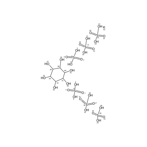 O=S(=O)(O)O.O=S(=O)(O)O.O=S(=O)(O)O.O=S(=O)(O)O.O=S(=O)(O)O.O=S(=O)(O)O.OC1C(O)C(O)C(O)C(O)C1O.[K]